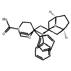 C=CCN(c1ccccc1)[C@H]1C[C@H]2CC[C@@H](C1)N2CCC1(c2ccccc2)CCN(C(=O)C(C)(C)C)CO1